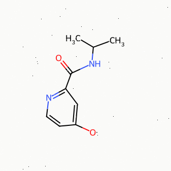 CC(C)NC(=O)c1cc([O])ccn1